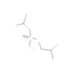 CC(C)CSP(O)(=S)CC(C)C